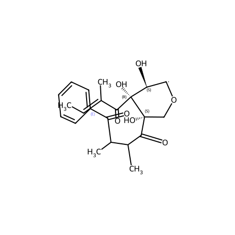 C/C=C(\C)C(=O)[C@@]1(O)[C@@H](O)[CH]OC[C@@]1(O)C(=O)C(C)C(C)C(=O)c1ccccc1